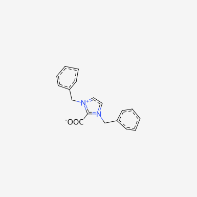 O=C([O-])c1n(Cc2ccccc2)cc[n+]1Cc1ccccc1